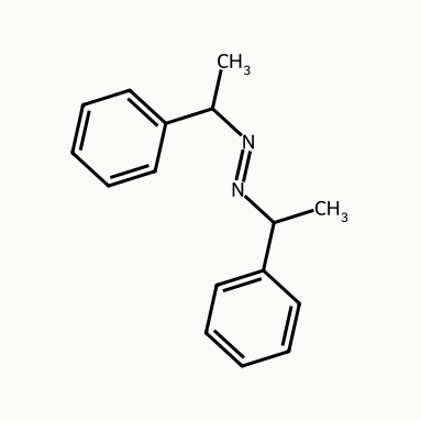 CC(N=NC(C)c1ccccc1)c1ccccc1